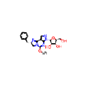 CCCOC1=Nc2c(cnn2[C@@H]2O[C@H](CO)[C@@H](O)[C@H]2O)C2=N[C@@H](Cc3ccccc3)CN12